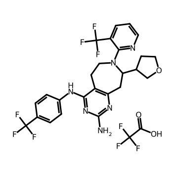 Nc1nc2c(c(Nc3ccc(C(F)(F)F)cc3)n1)CCN(c1ncccc1C(F)(F)F)C(C1CCOC1)C2.O=C(O)C(F)(F)F